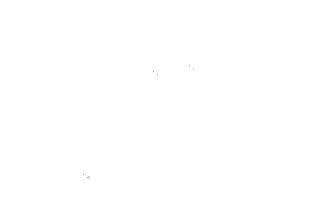 CC(C)c1noc(N2CCC(C(C)CCN)CC2)n1